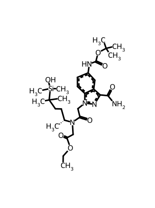 CCOC(=O)CN(C(=O)Cn1nc(C(N)=O)c2cc(NC(=O)OC(C)(C)C)ccc21)[C@H](C)CCC(C)(C)[Si](C)(C)O